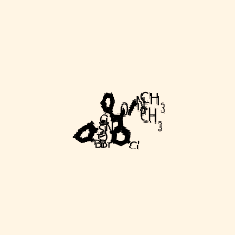 CN(C)CCOc1c(-c2ccccc2)n(S(=O)(=O)c2ccccc2Br)c2c(Br)cc(Cl)cc12